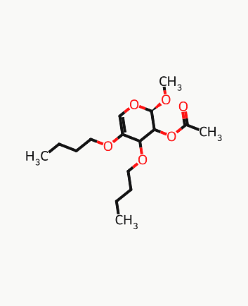 CCCCOC1=CO[C@@H](OC)C(OC(C)=O)C1OCCCC